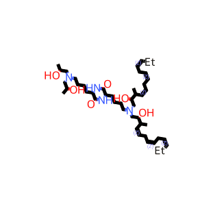 CC/C=C\C/C=C\C/C=C\C(C)C(O)CN(CCCCC1NC(=O)C(CCCCN(CC(C)O)CC(C)O)NC1=O)CC(O)C(C)/C=C\C/C=C\C/C=C\CC